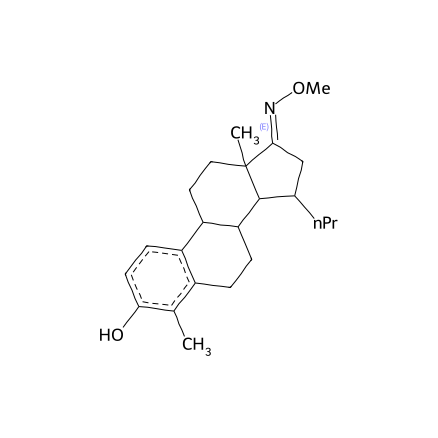 CCCC1C/C(=N\OC)C2(C)CCC3c4ccc(O)c(C)c4CCC3C12